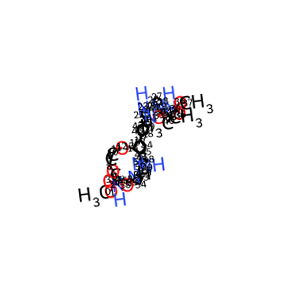 COC(=O)N[C@H]1COCCCCOCc2cc(-c3ccc(-c4c[nH]c([C@@H]5CCCN5C(=O)[C@@H](NC(=O)OC)C(C)C)n4)cc3)ccc2-c2c[nH]c(n2)[C@@H]2CCCN2C1=O